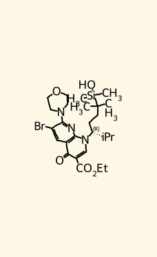 CCOC(=O)c1cn([C@H](CCC(C)(C)[Si](C)(C)O)C(C)C)c2nc(N3CCOCC3)c(Br)cc2c1=O